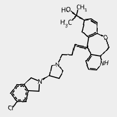 CC(C)(O)C1C=CC2=C(C1)/C(=C/CCN1CC[C@@H](N3Cc4ccc(Cl)cc4C3)C1)C1=CC=CNC1CO2